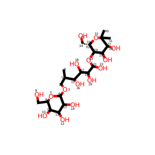 CC(COC1OC(CO)C(O)C(O)C1O)C(O)C(O)C(O)C(O)OC1C(O)C(O)C(C)(C)O[C@H]1CO